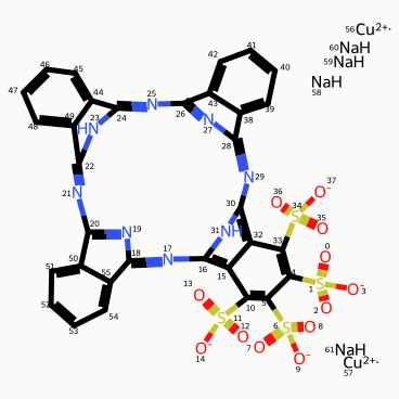 O=S(=O)([O-])c1c(S(=O)(=O)[O-])c(S(=O)(=O)[O-])c2c3nc4nc(nc5[nH]c(nc6nc(nc([nH]3)c2c1S(=O)(=O)[O-])-c1ccccc1-6)c1ccccc51)-c1ccccc1-4.[Cu+2].[Cu+2].[NaH].[NaH].[NaH].[NaH]